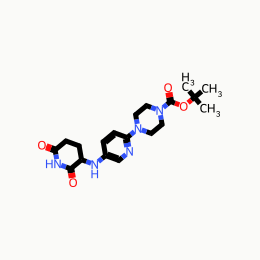 CC(C)(C)OC(=O)N1CCN(c2ccc(NC3CCC(=O)NC3=O)cn2)CC1